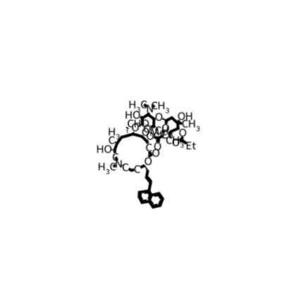 CCC(=O)O[C@@H]1CC(=O)O[C@@H](C/C=C/c2cccc3ccccc23)CCCN(C)C[C@H](O)[C@H](C)C[C@H](CC=O)[C@H](O[C@@H]2OC(C)[C@@H](O[C@H]3CC(C)(O)[C@@H](OC(=O)CC)C(C)O3)C(N(C)C)C2O)[C@H]1OC